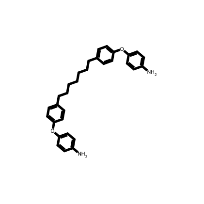 Nc1ccc(Oc2ccc(CCCCCCCc3ccc(Oc4ccc(N)cc4)cc3)cc2)cc1